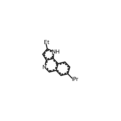 CCc1cc2ncc3cc(C(C)C)ccc3c2[nH]1